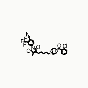 CC1=C(CCCCCN2CCN(C(=O)c3ccccc3Cl)CC2)C(=O)N(c2ccc(C#N)c(C(F)(F)F)c2)C1=O